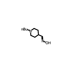 CCCCN1CCC(C=NO)CC1